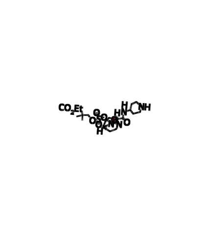 CCOC(=O)C(C)(C)COS(=O)(=O)ON1C(=O)N2CC[C@H]1CC[C@H]2C(=O)NC1CCNCC1